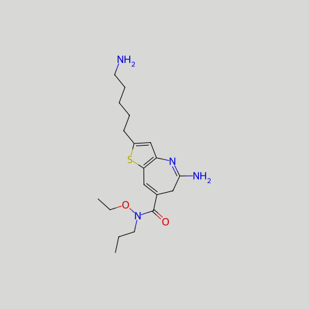 CCCN(OCC)C(=O)C1=Cc2sc(CCCCCN)cc2N=C(N)C1